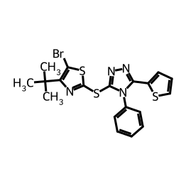 CC(C)(C)c1nc(Sc2nnc(-c3cccs3)n2-c2ccccc2)sc1Br